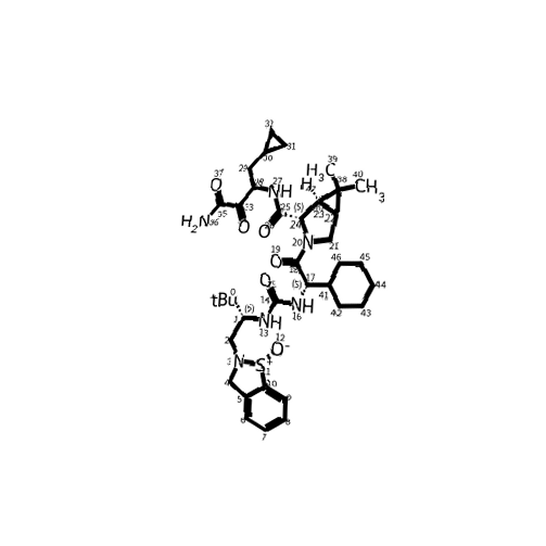 CC(C)(C)[C@@H](CN1Cc2ccccc2[S+]1[O-])NC(=O)N[C@H](C(=O)N1CC2[C@@H]([C@H]1C(=O)NC(CC1CC1)C(=O)C(N)=O)C2(C)C)C1CCCCC1